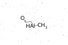 [CH3][AlH][CH2]C=O